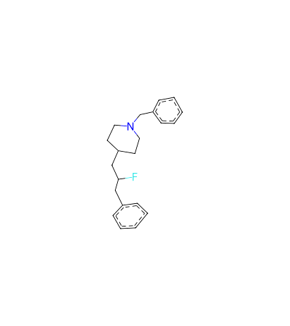 FC(Cc1ccccc1)CC1CCN(Cc2ccccc2)CC1